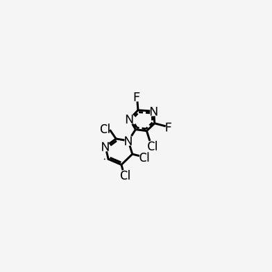 Fc1nc(F)c(Cl)c(N2C(Cl)=N[C]=C(Cl)C2Cl)n1